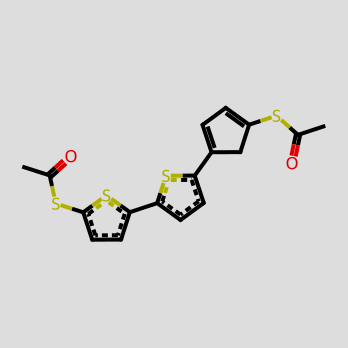 CC(=O)SC1=CC=C(c2ccc(-c3ccc(SC(C)=O)s3)s2)C1